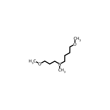 COCCCCN(C)CCCOC